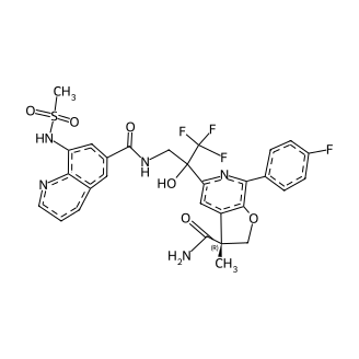 C[C@]1(C(N)=O)COc2c1cc(C(O)(CNC(=O)c1cc(NS(C)(=O)=O)c3ncccc3c1)C(F)(F)F)nc2-c1ccc(F)cc1